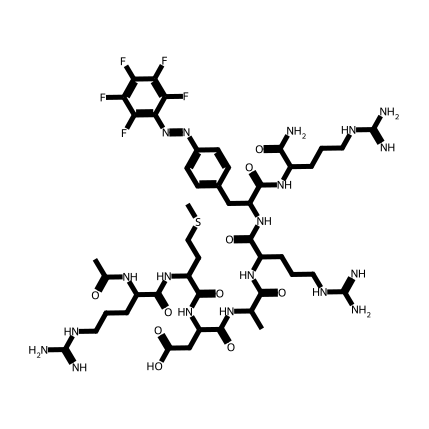 CSCCC(NC(=O)C(CCCNC(=N)N)NC(C)=O)C(=O)NC(CC(=O)O)C(=O)NC(C)C(=O)NC(CCCNC(=N)N)C(=O)NC(Cc1ccc(/N=N/c2c(F)c(F)c(F)c(F)c2F)cc1)C(=O)NC(CCCNC(=N)N)C(N)=O